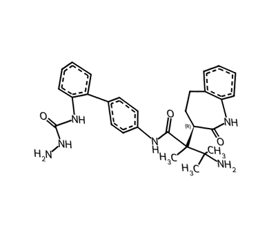 CC(C)(N)C(C)(C(=O)Nc1ccc(-c2ccccc2NC(=O)NN)cc1)[C@H]1CCc2ccccc2NC1=O